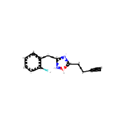 C#CCCc1nc(Cc2ccccc2F)no1